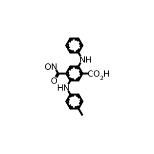 Cc1ccc(Nc2cc(C(=O)O)c(Nc3ccccc3)cc2C(=O)N=O)cc1